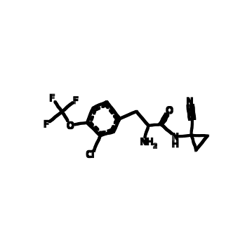 N#CC1(NC(=O)C(N)Cc2ccc(OC(F)(F)F)c(Cl)c2)CC1